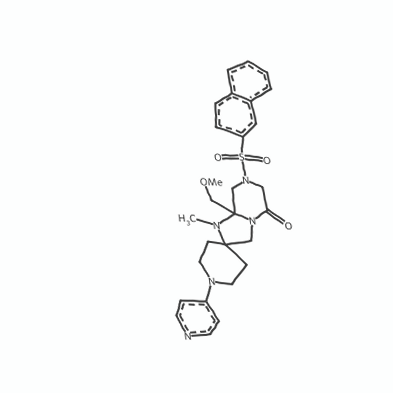 COCC12CN(S(=O)(=O)c3ccc4ccccc4c3)CC(=O)N1CC1(CCN(c3ccncc3)CC1)N2C